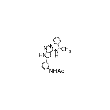 CC(=O)Nc1cccc(-c2cc3c(N[C@H](C)c4ccccc4)ncnc3[nH]2)c1